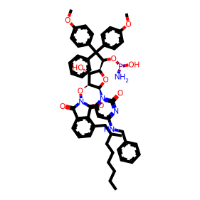 CCCCCCC(C)Cc1cccc2c1C(=O)N(O[C@@H]1[C@H](O)[C@@H](C(OP(N)O)C(c3ccccc3)(c3ccc(OC)cc3)c3ccc(OC)cc3)O[C@H]1n1ccc(NCc3ccccc3)nc1=O)C2=O